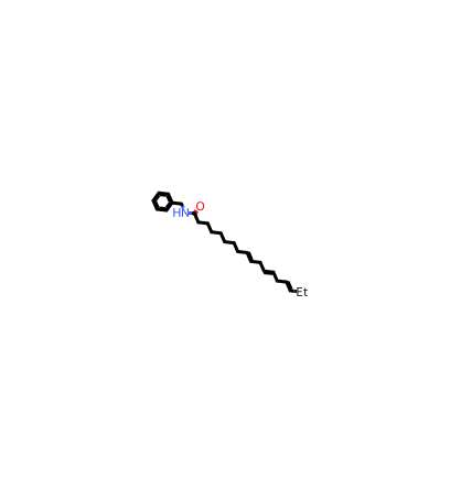 CCC=CCC=CCC=CCCCCCCCC(=O)NCc1ccccc1